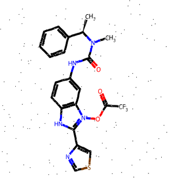 C[C@H](c1ccccc1)N(C)C(=O)Nc1ccc2[nH]c(-c3cscn3)[n+](OC(=O)C(F)(F)F)c2c1